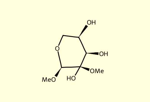 CO[C@H]1OC[C@@H](O)[C@@H](O)[C@@]1(O)OC